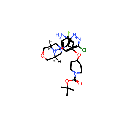 CC(C)(C)OC(=O)N1CCC(Oc2cc(F)cc(N3[C@@H]4COC[C@H]3CN(c3cc(Cl)nnc3N)C4)c2)CC1